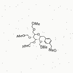 COCOCC1O[C@@H](Cc2ccc(COC)cc2)C(OCOC)C(OCOC)[C@@H]1OCOC